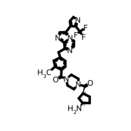 Cc1cc(Cc2nccn3c(C4=CCN=C4C(F)(F)F)cnc23)ccc1C(=O)N1CCN(C(=O)[C@H]2CC[C@@H](N)C2)CC1